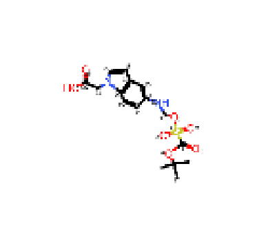 CC(C)(C)OC(=O)S(=O)(=O)OCNc1ccc2c(ccn2CC(=O)O)c1